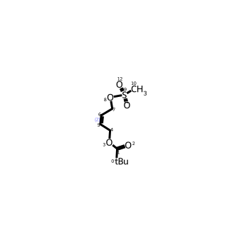 CC(C)(C)C(=O)OC/C=C\COS(C)(=O)=O